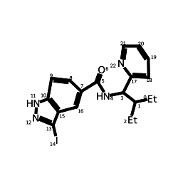 CCC(CC)C(NC(=O)c1ccc2[nH]nc(I)c2c1)c1ccccn1